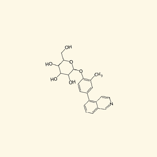 Cc1cc(-c2cccc3cnccc23)ccc1OC1OC(CO)C(O)C(O)C1O